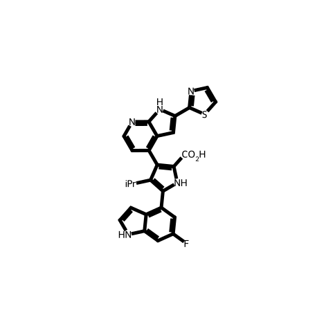 CC(C)c1c(-c2cc(F)cc3[nH]ccc23)[nH]c(C(=O)O)c1-c1ccnc2[nH]c(-c3nccs3)cc12